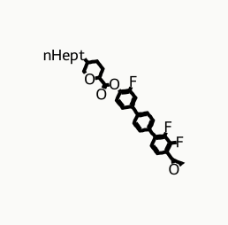 CCCCCCCC1CCC(C(=O)Oc2ccc(-c3ccc(-c4ccc(C5CO5)c(F)c4F)cc3)cc2F)OC1